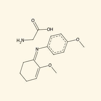 COC1=CCCCC1=Nc1ccc(OC)cc1.NCC(=O)O